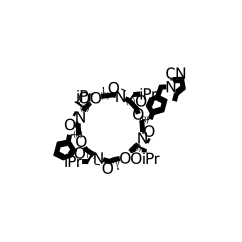 Cc1ccc(C#N)n1Cc1ccc(C[C@H]2OC(=O)[C@H](CC(C)C)N(C)C(=O)[C@@H](C)OC(=O)[C@H](CC(C)C)N(C)C(=O)[C@@H](Cc3ccccc3)OC(=O)[C@H](CC(C)C)N(C)C(=O)[C@@H](C)OC(=O)[C@H](CC(C)C)N(C)C2=O)cc1